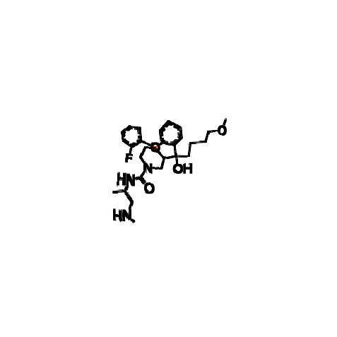 CNCC(C)NC(=O)N1CCCC(C(O)(CCCCOC)c2ccccc2Oc2ccccc2F)C1